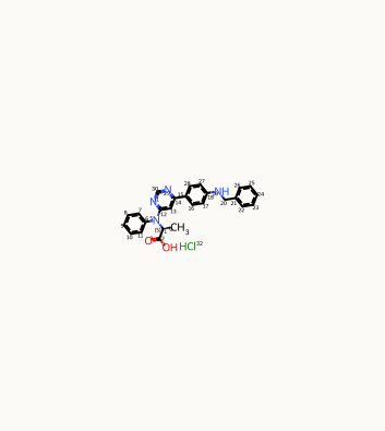 C[C@@H](C(=O)O)N(c1ccccc1)c1cc(-c2ccc(NCc3ccccc3)cc2)ncn1.Cl